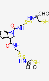 O=C[C@H](CS)NSSCCNC(=O)C1CN(C(=O)NCCSSN[C@H](C=O)CS)c2ccccc21